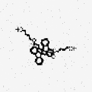 O=C(CCC1(C2(CCC(=O)OCCCCO)c3ccccc3-c3ccccc32)c2ccccc2-c2ccccc21)OCCCCO